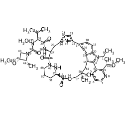 CCn1c(-c2cccnc2[C@H](C)OC)c2c3cc(ccc31)-c1csc(n1)C[C@H](NC(=O)[C@H](C(C)C)N(C)C(=O)N1C[C@@H](OC)[C@H]1C)C(=O)N1CCC[C@H](N1)C(=O)OCC(C)(C)C2